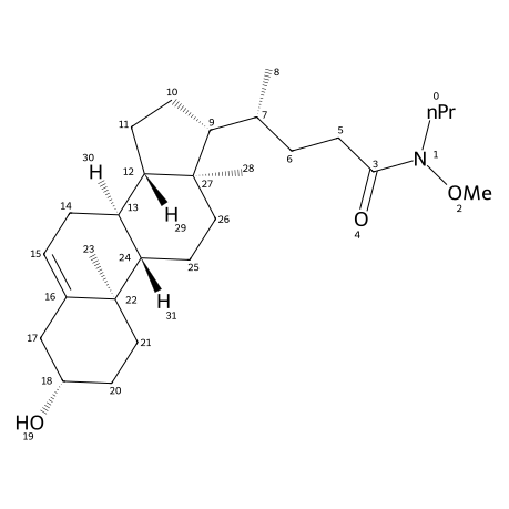 CCCN(OC)C(=O)CC[C@@H](C)[C@H]1CC[C@H]2[C@@H]3CC=C4C[C@@H](O)CC[C@]4(C)[C@H]3CC[C@]12C